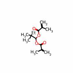 C=C(C)C(=O)OC(OC(=O)C(=C)C)C(C)(C)CC